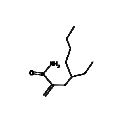 C=C(CC(CC)CCCC)C(N)=O